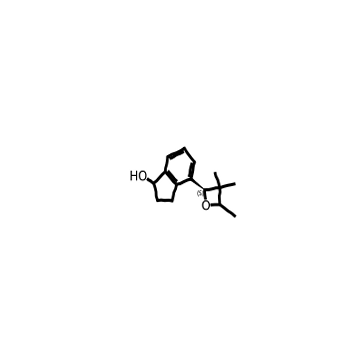 CC1O[C@@H](c2cccc3c2CCC3O)C1(C)C